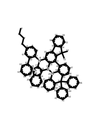 CCCCc1ccc(N2c3cc4c(c5c3B(c3c2sc2ccccc32)N2c3ccccc3C(c3ccccc3)(c3ccccc3)c3cccc-5c32)C(C)(C)c2ccccc2-4)c(-c2ccccc2)c1